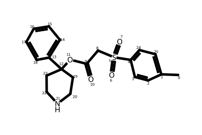 Cc1ccc(S(=O)(=O)CC(=O)OC2(c3ccccc3)CCNCC2)cc1